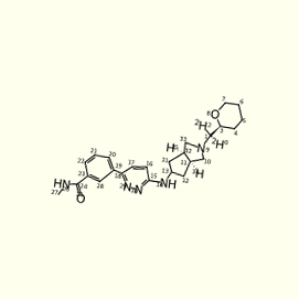 [2H]C([2H])([C@@H]1CCCCO1)N1C[C@H]2CC(Nc3ccc(-c4cccc(C(=O)NC)c4)nn3)C[C@H]2C1